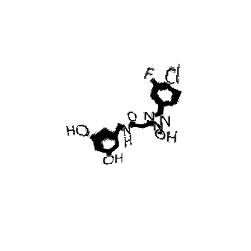 O=C(Cc1nc(-c2ccc(Cl)c(F)c2)nn1O)NCc1cc(O)cc(O)c1